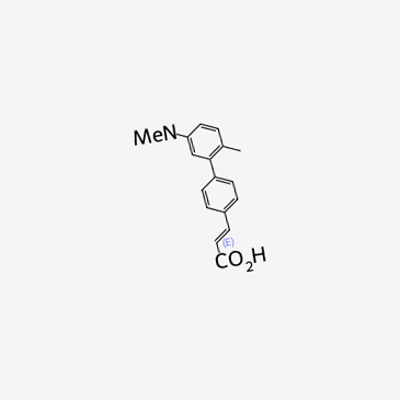 CNc1ccc(C)c(-c2ccc(/C=C/C(=O)O)cc2)c1